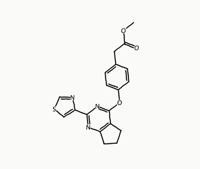 COC(=O)Cc1ccc(Oc2nc(-c3cscn3)nc3c2CCC3)cc1